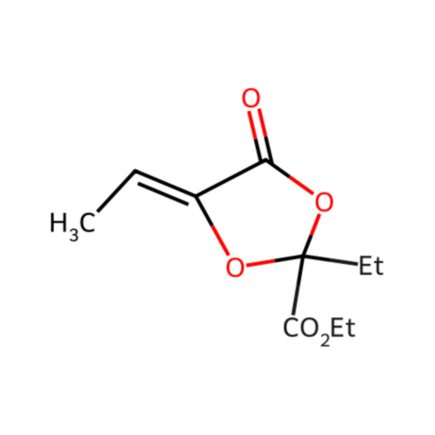 C/C=C1\OC(CC)(C(=O)OCC)OC1=O